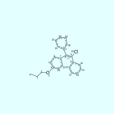 CCCOc1ccc(/C(=C(/Cl)c2ccccc2)c2ccccc2)cc1